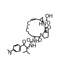 CC(C)[C@H](NC(=O)N[C@H]1CCCCC/C=C\C2C[C@@]2(C(=O)O)NC(=O)[C@@H]2CCCN2C1=O)C(=O)c1ccc(N(C)C)cc1